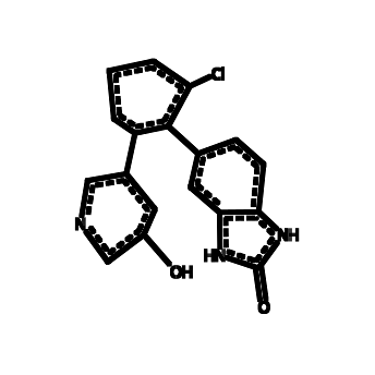 O=c1[nH]c2ccc(-c3c(Cl)cccc3-c3cncc(O)c3)cc2[nH]1